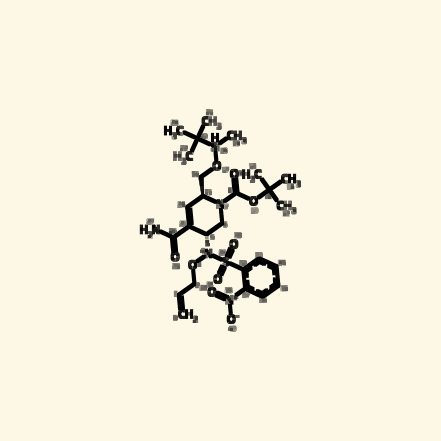 C=CCON([C@H]1CN(C(=O)OC(C)(C)C)[C@H](CO[SiH](C)C(C)(C)C)C=C1C(N)=O)S(=O)(=O)c1ccccc1[N+](=O)[O-]